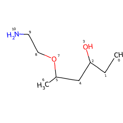 CCC(O)CC(C)OCCN